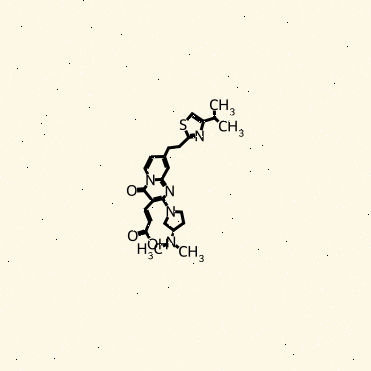 CC(C)c1csc(CCc2ccn3c(=O)c(/C=C/C(=O)O)c(N4CC[C@@H](N(C)C)C4)nc3c2)n1